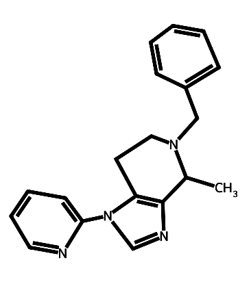 CC1c2ncn(-c3ccccn3)c2CCN1Cc1ccccc1